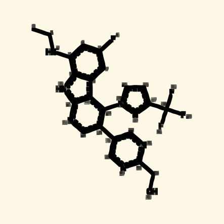 CCNc1cc(F)cc2c1[nH]c1ncc(-c3cnc(CO)nc3)c(-n3ccc(C(F)(F)F)n3)c12